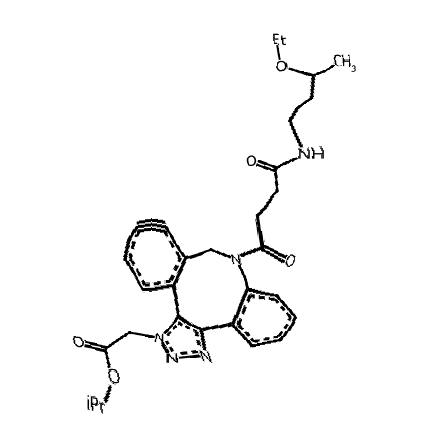 CCOC(C)CCNC(=O)CCC(=O)N1Cc2c#cccc2-c2c(nnn2CC(=O)OC(C)C)-c2ccccc21